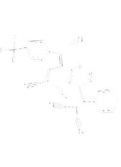 N#CC(C#N)=C1C(c2ccc3c(c2)C(=C(C#N)C#N)c2ccccc2-3)=C(C#N)c2ccc(C(F)(F)F)cc21